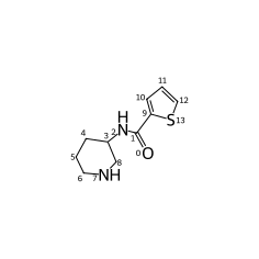 O=C(NC1CCCNC1)c1cccs1